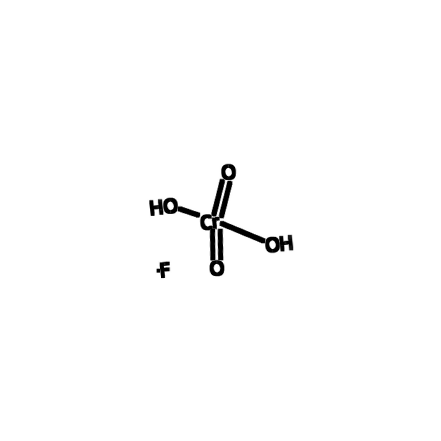 [F].[O]=[Cr](=[O])([OH])[OH]